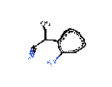 CC(C#N)c1ccccc1N